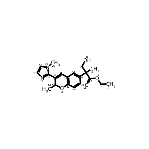 CCOC(=O)C(C)(CO)c1ccc2c(c1)C=C(c1nccn1C)C(C)O2